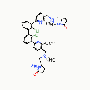 COc1nc(-c2cccc(-c3cccc(-c4ccc(CN(C=O)C[C@H]5CCC(=O)N5)c(OC)n4)c3Cl)c2Cl)ccc1CNC[C@@H]1CCC(=O)N1